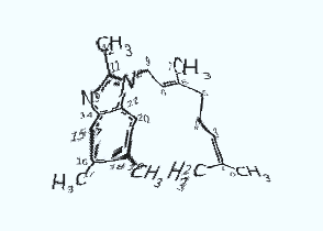 CC(C)=CCC/C(C)=C/Cn1c(C)nc2cc(C)c(C)cc21